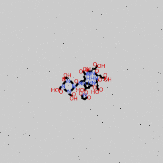 O=C(O)CC[C@@H](NC(=O)c1cccc(C(O)ON2C(=O)CCC2=O)c1)C(=O)N[C@H](CCC(=O)O)C(=O)N[C@H](CCC(=O)O)C(=O)N[C@H](CCCCNC(=O)CN1CCN(CC(=O)O)CCN(CC(=O)O)CCN(CC(=O)O)CC1)C(=O)O